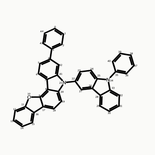 c1ccc(-c2ccc3c4c5oc6ccccc6c5ccc4n(-c4ccc5c(c4)c4ccccc4n5-c4ccccc4)c3c2)cc1